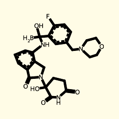 BC(O)(Nc1cccc2c1CN(C1(O)CCC(=O)NC1=O)C2=O)c1cc(CN2CCOCC2)ccc1F